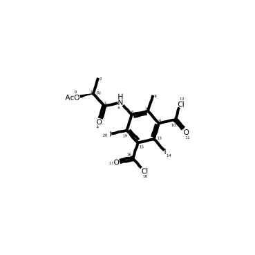 CC(=O)O[C@@H](C)C(=O)Nc1c(C)c(C(=O)Cl)c(I)c(C(=O)Cl)c1I